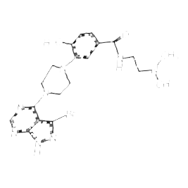 Cc1ccc(C(=O)NCCN(C)C)cc1N1CCN(c2ncnc3[nH]nc(Br)c23)CC1